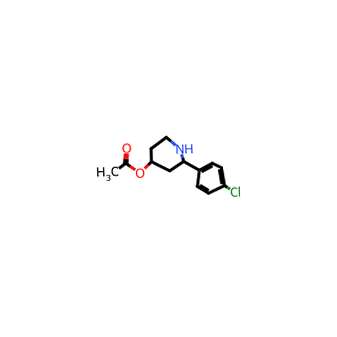 CC(=O)OC1CCNC(c2ccc(Cl)cc2)C1